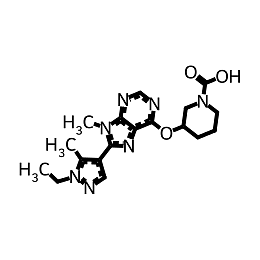 CCn1ncc(-c2nc3c(OC4CCCN(C(=O)O)C4)ncnc3n2C)c1C